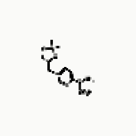 CC1(C)OCC(Cc2ccc([C@@H](N)C(=O)O)cc2)O1